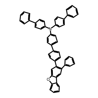 c1ccc(-c2ccc(N(c3ccc(-c4ccccc4)cc3)c3ccc(-c4ccc(-c5cc6oc7ccccc7c6cc5-c5ccccc5)cc4)cc3)cc2)cc1